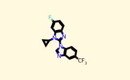 Fc1ccc2nc(-n3cnc4cc(C(F)(F)F)ccc43)n(C3CC3)c2c1